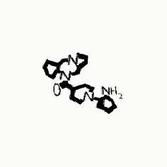 Nc1ccccc1N1CCC(C(=O)N2Cc3cccn3Cc3ccccc32)CC1